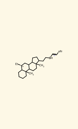 CCC/C=C/BCCC1CCC2C3C[C@H](CC)C4CCCCC4(C)C3CCC12C